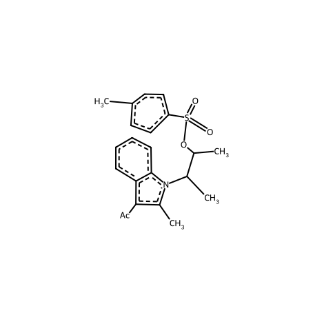 CC(=O)c1c(C)n(C(C)C(C)OS(=O)(=O)c2ccc(C)cc2)c2ccccc12